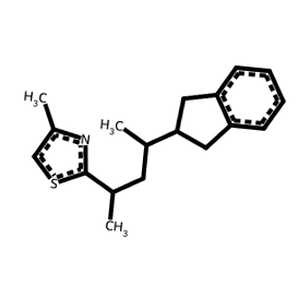 Cc1csc(C(C)CC(C)C2Cc3ccccc3C2)n1